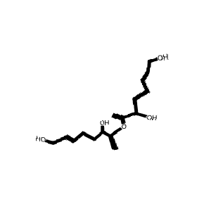 C=C(OC(=C)C(O)CCCCCO)C(O)CCCCCO